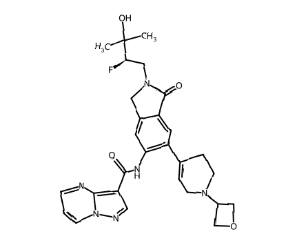 CC(C)(O)[C@H](F)CN1Cc2cc(NC(=O)c3cnn4cccnc34)c(C3=CCN(C4COC4)CC3)cc2C1=O